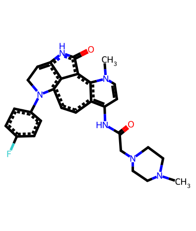 CN1CCN(CC(=O)NC2=c3ccc4c5c([nH]c(=O)c-5c3N(C)C=C2)=CCN4c2ccc(F)cc2)CC1